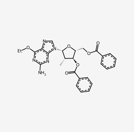 CCOc1nc(N)nc2c1ncn2[C@@H]1O[C@H](COC(=O)c2ccccc2)[C@@H](OC(=O)c2ccccc2)[C@@H]1C